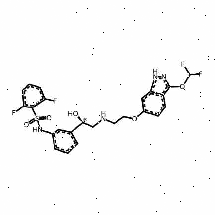 O=S(=O)(Nc1cccc([C@@H](O)CNCCOc2ccc3c(OC(F)F)n[nH]c3c2)c1)c1c(F)cccc1F